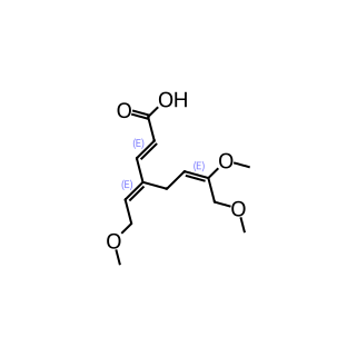 COC/C=C(/C=C/C(=O)O)C/C=C(\COC)OC